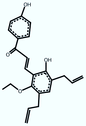 C=CCc1cc(CC=C)c(OCC)c(/C=C/C(=O)c2ccc(O)cc2)c1O